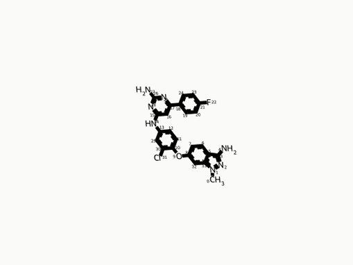 Cn1nc(N)c2ccc(Oc3ccc(Nc4cc(-c5ccc(F)cc5)nc(N)n4)cc3Cl)cc21